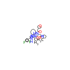 C[C@H](NC(=O)[C@H](CC(=O)N1CCCC[C@@H]1C)NC(=O)CC1CCOCC1)C1NC(c2ccc(F)cc2F)CN1C1CCCCCCCC1